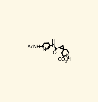 CC(=O)Nc1ccc(NC(=O)[C@H]2CC23CCN(C(=O)O)CC3)cn1